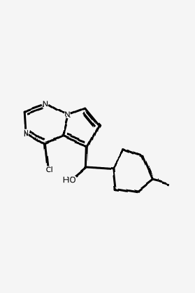 CC1CCC(C(O)c2ccn3ncnc(Cl)c23)CC1